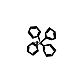 c1cc[c]([BiH]([c]2ccccc2)([c]2ccccc2)[c]2ccccc2)cc1